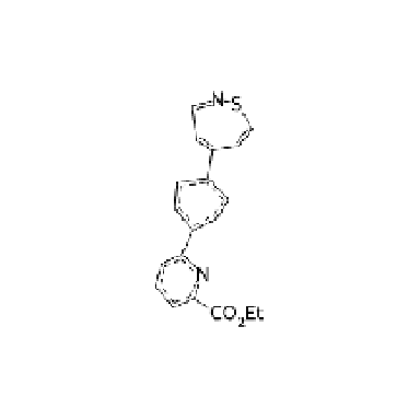 CCOC(=O)c1cccc(-c2ccc(C3=CC=NSC=C3)cc2)n1